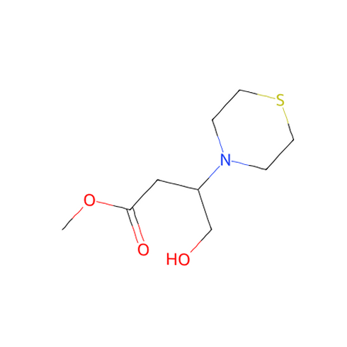 COC(=O)CC(CO)N1CCSCC1